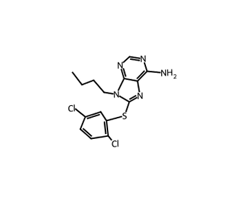 CCCCn1c(Sc2cc(Cl)ccc2Cl)nc2c(N)ncnc21